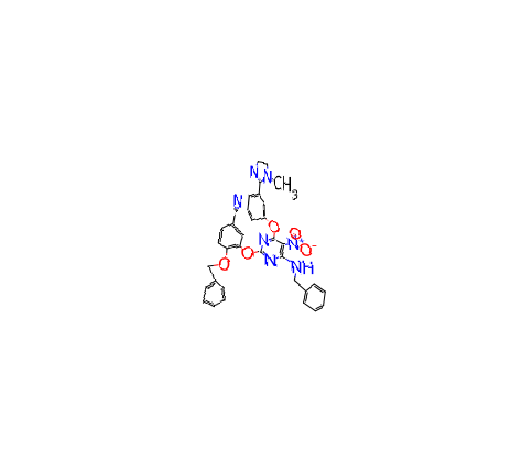 CN1CCN=C1c1cccc(Oc2nc(Oc3cc(C#N)ccc3OCc3ccccc3)nc(NCc3ccccc3)c2[N+](=O)[O-])c1